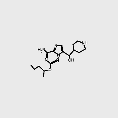 CCCC(C)Oc1nc(N)c2ncc(C(O)C3CCNCC3)n2n1